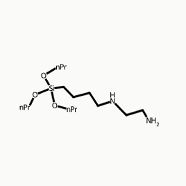 CCCO[Si](CCCCNCCN)(OCCC)OCCC